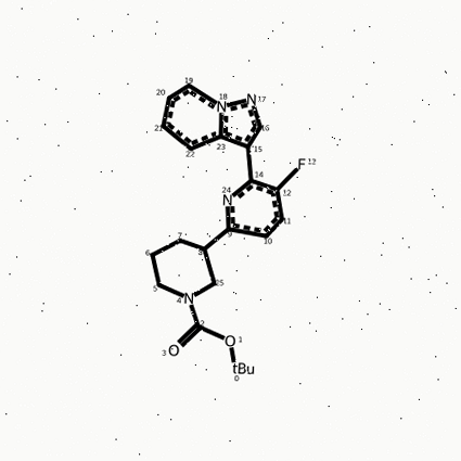 CC(C)(C)OC(=O)N1CCCC(c2ccc(F)c(-c3cnn4ccccc34)n2)C1